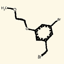 COCCOc1cc(Br)cc(CBr)c1